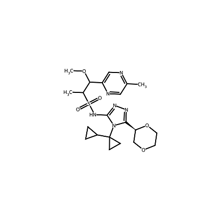 COC(c1cnc(C)cn1)C(C)S(=O)(=O)Nc1nnc([C@@H]2COCCO2)n1C1(C2CC2)CC1